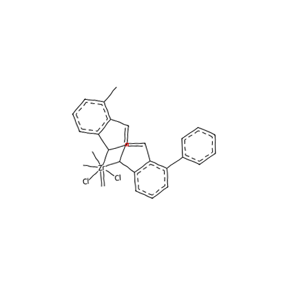 [CH2]=[Zr]([CH3])([CH3])([Cl])([Cl])([CH]1C=Cc2c(C)cccc21)[CH]1C=Cc2c(-c3ccccc3)cccc21